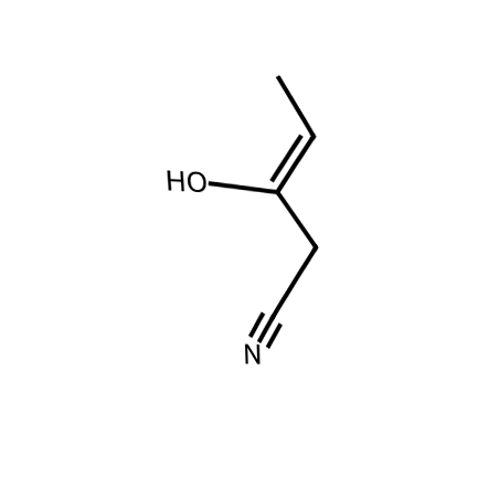 CC=C(O)CC#N